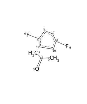 CC(C)=O.Fc1ccc(F)cc1